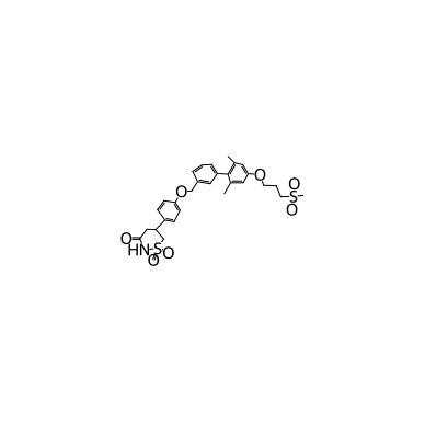 Cc1cc(OCCCS(C)(=O)=O)cc(C)c1-c1cccc(COc2ccc(C3CC(=O)NS(=O)(=O)C3)cc2)c1